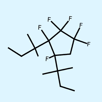 CCC(C)(C)C1(F)CC(F)(F)C(F)(F)C1(F)C(C)(C)CC